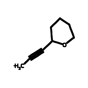 [CH2]C#CC1CCCCO1